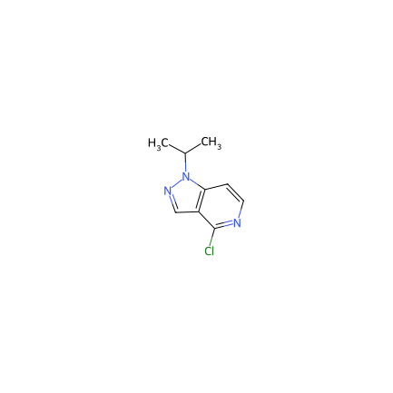 CC(C)n1ncc2c(Cl)nccc21